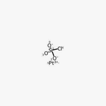 [O-][Si]([O-])([O-])Cl.[Pt+3]